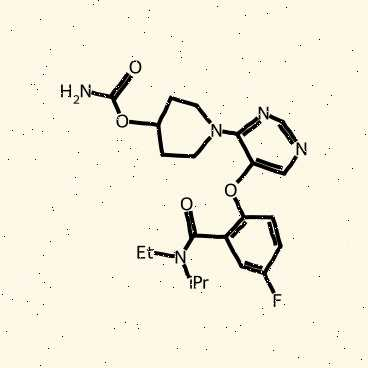 CCN(C(=O)c1cc(F)ccc1Oc1cncnc1N1CCC(OC(N)=O)CC1)C(C)C